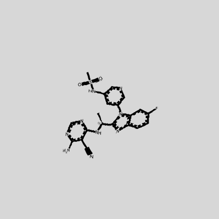 C[C@H](Nc1ncnc(N)c1C#N)c1nc2ccc(F)cc2n1-c1cncc(NS(C)(=O)=O)c1